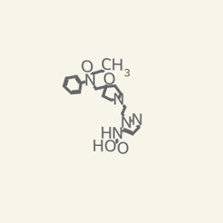 CC1OC2(CCN(CCn3nccc3NC(=O)O)CC2)CN(c2ccccc2)C1=O